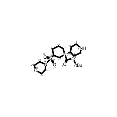 CC(C)(C)OC(=O)[N+]1(C2CCNCC2)CCCC(S(=O)(=O)N2CCOCC2)C1